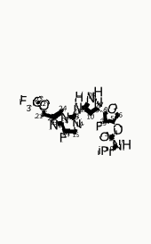 CC(C)NC(=O)O[C@H]1CO[C@@H](c2cc(Nc3ncc(F)c4nc(COC(F)(F)F)cn34)n[nH]2)[C@@H]1F